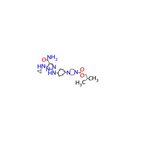 CC(C)COC(=O)N1CCN(c2ccc(Nc3ncc(C(N)=O)c(NC4CC4)n3)cc2)CC1